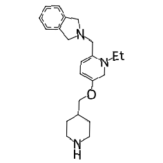 CCN1CC(OCC2CCNCC2)=CC=C1CN1Cc2ccccc2C1